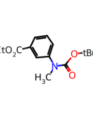 CCOC(=O)c1cccc(N(C)C(=O)OC(C)(C)C)c1